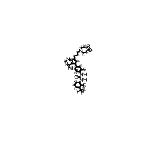 Nc1ncnn2c(CCCN3CCS(=O)(=O)CC3)cc(-c3ccc(NC(=O)Nc4cccc(C(F)(F)F)c4F)c(F)c3)c12